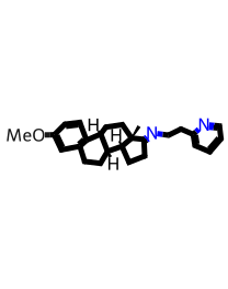 COc1ccc2c(c1)CC[C@@H]1[C@@H]2CC[C@]2(C)C(=NCCc3ccccn3)CC[C@@H]12